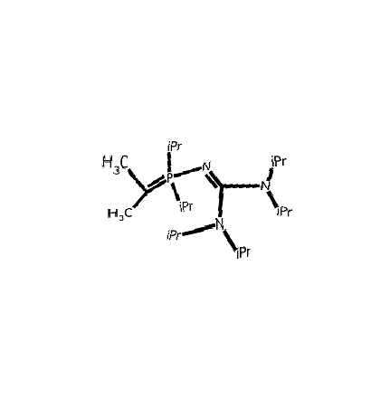 CC(C)=P(N=C(N(C(C)C)C(C)C)N(C(C)C)C(C)C)(C(C)C)C(C)C